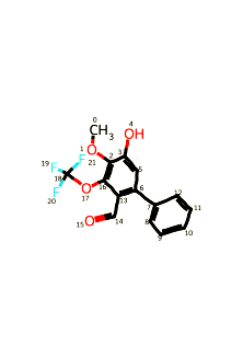 COc1c(O)cc(-c2ccccc2)c(C=O)c1OC(F)(F)F